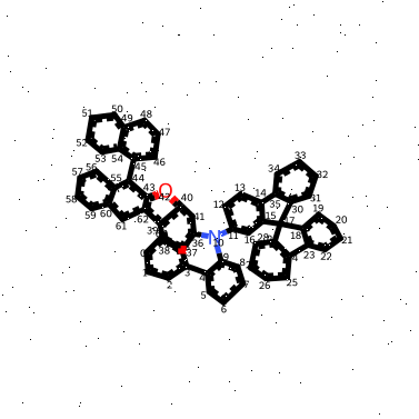 c1ccc(-c2ccccc2N(c2ccc3c(c2)C2(c4ccccc4-c4ccccc42)c2ccccc2-3)c2ccc3c(c2)oc2c(-c4cccc5ccccc45)c4ccccc4cc23)cc1